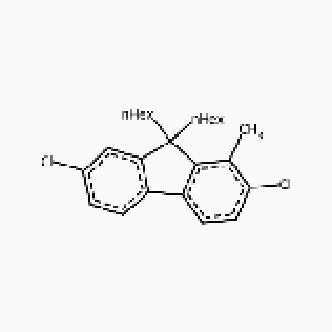 CCCCCCC1(CCCCCC)c2cc(Cl)ccc2-c2ccc(Cl)c(C)c21